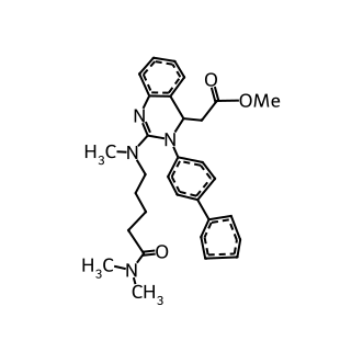 COC(=O)CC1c2ccccc2N=C(N(C)CCCCC(=O)N(C)C)N1c1ccc(-c2ccccc2)cc1